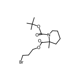 CC(C)(C)OC(=O)N1CCCCC1(C)C(=O)OCCCBr